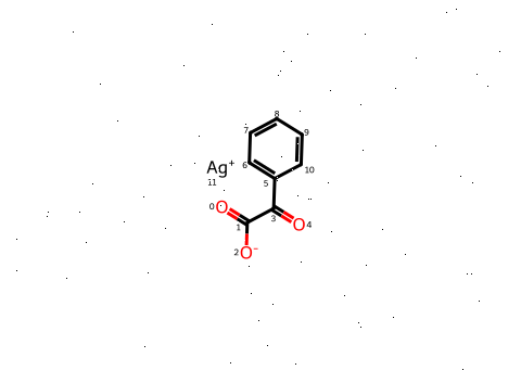 O=C([O-])C(=O)c1ccccc1.[Ag+]